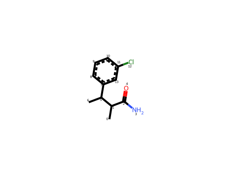 CC(C(N)=O)C(C)c1cccc(Cl)c1